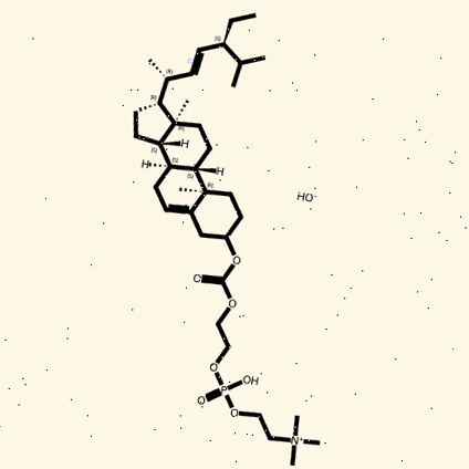 CC[C@H](/C=C/[C@@H](C)[C@H]1CC[C@H]2[C@@H]3CC=C4CC(OC(=O)OCCOP(=O)(O)OCC[N+](C)(C)C)CC[C@]4(C)[C@H]3CC[C@]12C)C(C)C.[OH-]